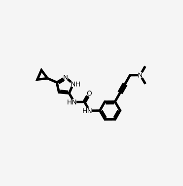 CN(C)CC#Cc1cccc(NC(=O)Nc2cc(C3CC3)n[nH]2)c1